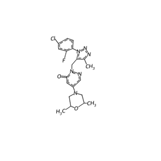 Cc1nnn(-c2ccc(Cl)cc2F)c1Cn1ncc(N2CC(C)OC(C)C2)cc1=O